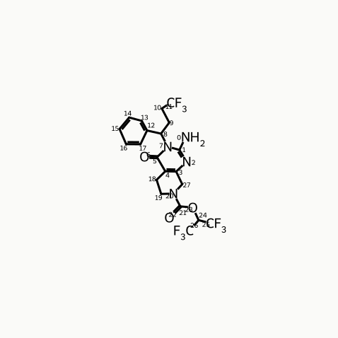 Nc1nc2c(c(=O)n1C(CCC(F)(F)F)c1ccccc1)CCN(C(=O)OC(C(F)(F)F)C(F)(F)F)C2